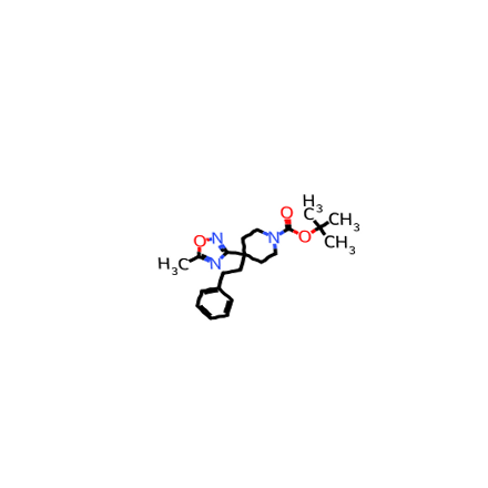 Cc1nc(C2(CCc3ccccc3)CCN(C(=O)OC(C)(C)C)CC2)no1